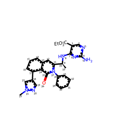 CCOC(=O)c1cnc(N)nc1N[C@@H](C)c1cc2cccc(-c3cnn(C)c3)c2c(=O)n1-c1ccccc1